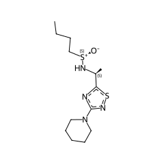 CCCC[S@@+]([O-])N[C@@H](C)c1nc(N2CCCCC2)ns1